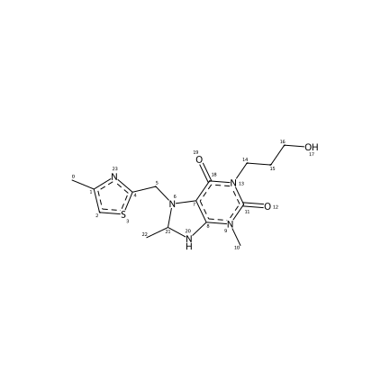 Cc1csc(CN2c3c(n(C)c(=O)n(CCCO)c3=O)NC2C)n1